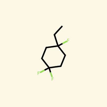 CCC1(F)CCC(F)(F)CC1